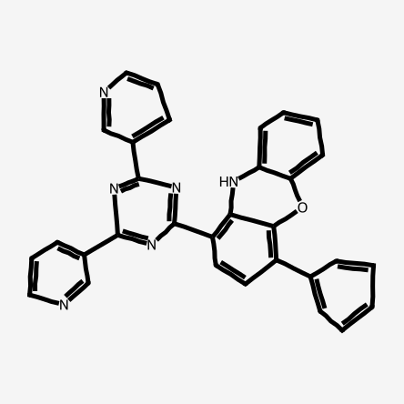 c1ccc(-c2ccc(-c3nc(-c4cccnc4)nc(-c4cccnc4)n3)c3c2Oc2ccccc2N3)cc1